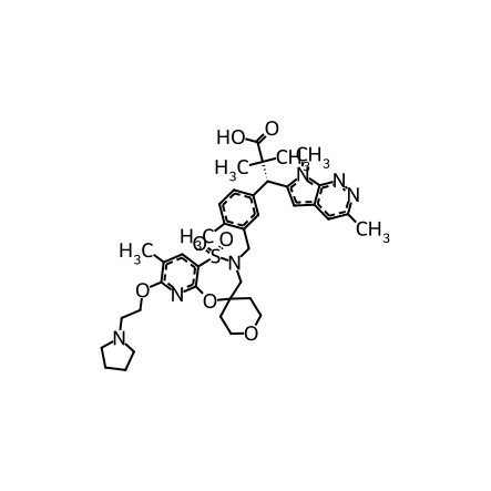 Cc1cc2cc([C@H](c3ccc(C)c(CN4CC5(CCOCC5)Oc5nc(OCCN6CCCC6)c(C)cc5S4(=O)=O)c3)C(C)(C)C(=O)O)n(C)c2nn1